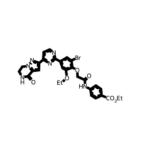 CCOC(=O)c1ccc(NC(=O)COc2c(Br)cc(-c3nccc(-c4cc5n(n4)CCNC5=O)n3)cc2OCC)cc1